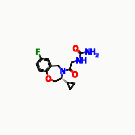 NC(=O)NCC(=O)N1Cc2cc(F)ccc2OC[C@H]1C1CC1